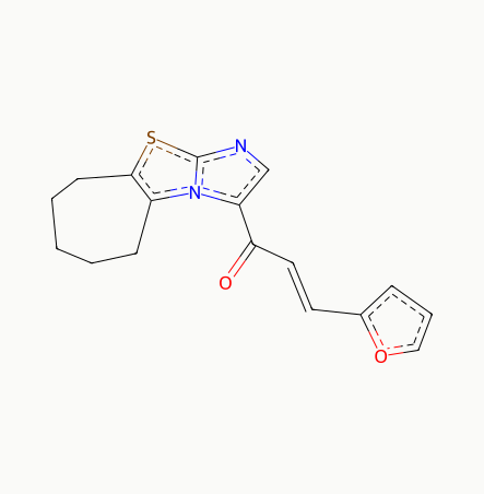 O=C(C=Cc1ccco1)c1cnc2sc3c(n12)CCCCC3